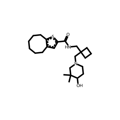 CC1(C)CN(CC2(CNC(=O)c3cc4c(s3)CCCCCC4)CCC2)CCC1O